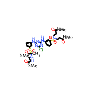 CNC(=O)CCNC(C)(C(=O)NC)S(=O)(=O)c1cccc(Nc2nc(Cl)nc(Nc3cccc(S(=O)(=O)N(CCC(=O)NC)CCC(=O)NC)c3)n2)c1